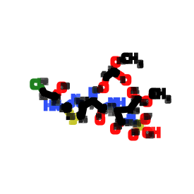 COC(=O)CON=C(C(=O)NC1C(=O)N(S(=O)(=O)O)C1C(=O)OC)c1csc(NC(=O)CCl)n1